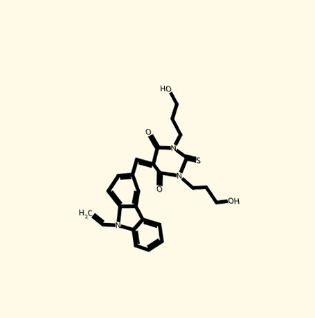 C=Cn1c2ccccc2c2cc(C=C3C(=O)N(CCCO)C(=S)N(CCCO)C3=O)ccc21